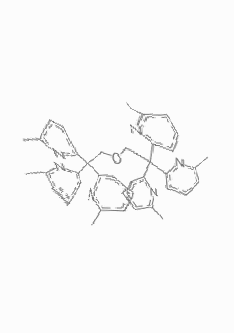 Cc1cccc(C(COCC(c2cccc(C)n2)(c2cccc(C)n2)c2cccc(C)n2)(c2cccc(C)n2)c2cccc(C)n2)n1